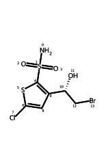 NS(=O)(=O)c1sc(Cl)cc1[C@H](O)CBr